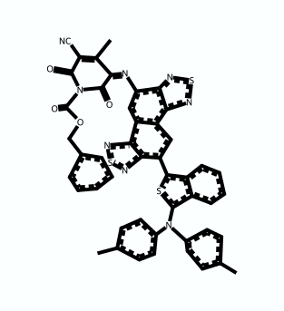 CC1=C(C#N)C(=O)N(C(=O)OCc2ccccc2)C(=O)/C1=N\c1cc2c(cc(-c3sc(N(c4ccc(C)cc4)c4ccc(C)cc4)c4ccccc34)c3nsnc32)c2nsnc12